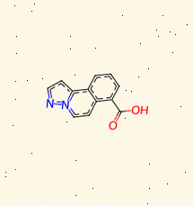 O=C(O)c1cccc2c1ccn1nccc21